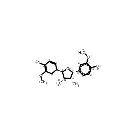 COC1=C(O)C=CC([C@H]2O[C@H](c3ccc(O)c(OC)c3)[C@H](C)[C@@H]2C)C1